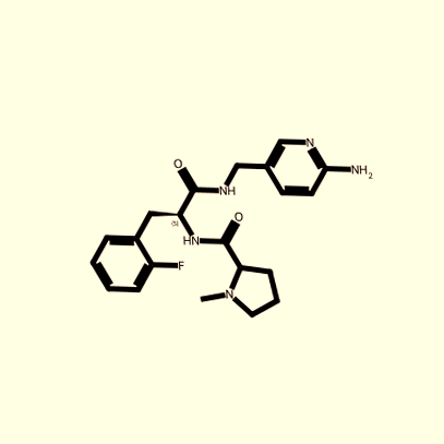 CN1CCCC1C(=O)N[C@@H](Cc1ccccc1F)C(=O)NCc1ccc(N)nc1